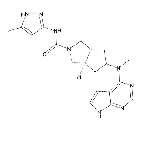 Cc1cc(NC(=O)N2CC3CC(N(C)c4ncnc5[nH]ccc45)C[C@H]3C2)n[nH]1